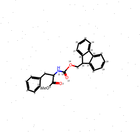 COC(=O)C(Cc1ccccc1)NC(=O)OCC1c2ccccc2-c2ccccc21